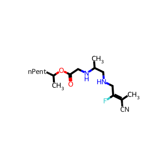 CCCCCC(C)OC(=O)CNC(C)CNC/C(F)=C(\C)C#N